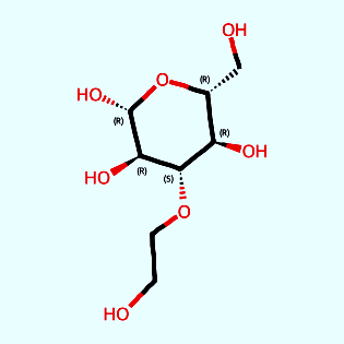 OCCO[C@@H]1[C@@H](O)[C@H](O)O[C@H](CO)[C@H]1O